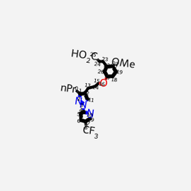 CCCc1nn(-c2ccc(C(F)(F)F)cn2)cc1CCCOc1ccc(OC)c(CCC(=O)O)c1